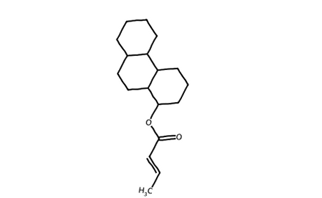 CC=CC(=O)OC1CCCC2C3CCCCC3CCC12